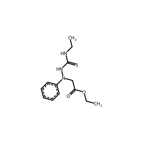 CCNC(=S)NN(CC(=O)OCC)c1ccccc1